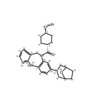 CCCO[C@H]1CC[C@H](C(=O)N2Cc3cccnc3Nc3ccc(N4CC5CCC(C4)O5)cc32)CC1